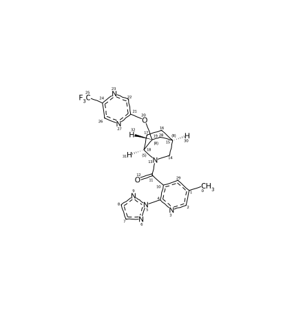 Cc1cnc(-n2nccn2)c(C(=O)N2C[C@@H]3CC[C@H]2[C@H](Oc2cnc(C(F)(F)F)cn2)C3)c1